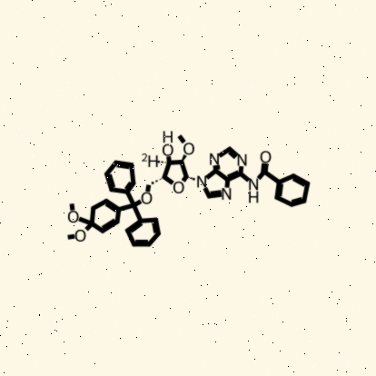 [2H][C@@]1(O)[C@@H](COC(C2=CCC(OC)(OC)C=C2)(c2ccccc2)c2ccccc2)O[C@@H](n2cnc3c(NC(=O)c4ccccc4)ncnc32)[C@@H]1OC